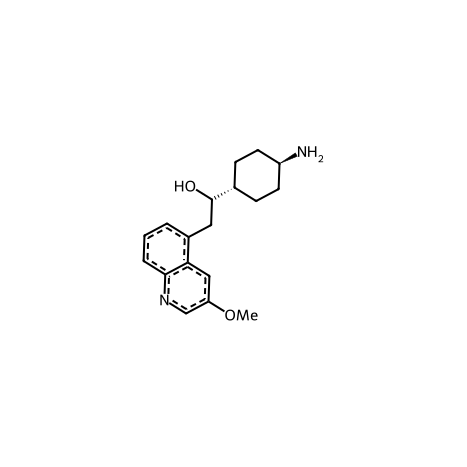 COc1cnc2cccc(CC(O)[C@H]3CC[C@H](N)CC3)c2c1